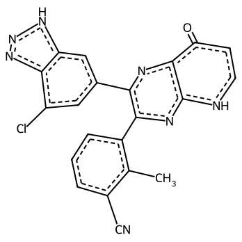 Cc1c(C#N)cccc1-c1nc2[nH]ccc(=O)c2nc1-c1cc(Cl)c2nn[nH]c2c1